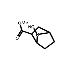 COC(=O)C1CC2CCC1N2C#N